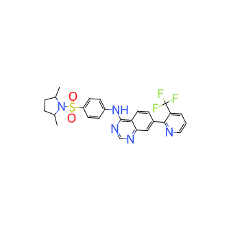 CC1CCC(C)N1S(=O)(=O)c1ccc(Nc2ncnc3cc(-c4ncccc4C(F)(F)F)ccc23)cc1